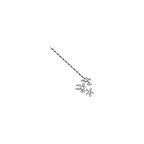 CC#CC#CC#CC#CC#CC#CC#CC#CC#CC#CC#CC#CC(=O)N[C@@H](CO[C@H]1OC(CSC2C(=O)N(CC)C(=O)C2I)[C@H](O)[C@H](O)C1O)[C@H](O)[C@@H](C)O